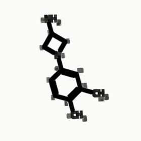 Cc1ccc(N2CC(N)C2)cc1C